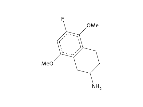 COc1cc(F)c(OC)c2c1CC(N)CC2